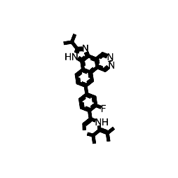 C/C=C(\NC(=C(C)C)C(C)C)c1ccc(-c2ccc3c(c2)c2cnncc2c2nc(C(C)C)[nH]c32)cc1F